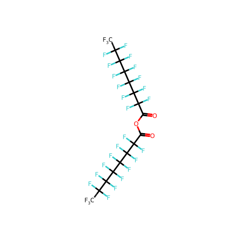 O=C(OC(=O)C(F)(F)C(F)(F)C(F)(F)C(F)(F)C(F)(F)C(F)(F)C(F)(F)F)C(F)(F)C(F)(F)C(F)(F)C(F)(F)C(F)(F)C(F)(F)C(F)(F)F